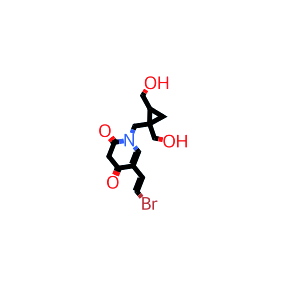 O=C1CC(=O)N(CC2(CO)CC2CO)C=C1C=CBr